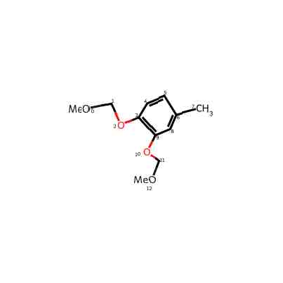 COCOc1ccc(C)cc1OCOC